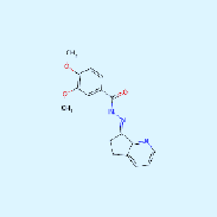 COc1ccc(C(=O)NN=C2CCc3cccnc32)cc1OC